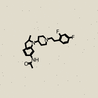 CC(=O)Nc1ccc2c(c1)N(C1CCN(CCc3ccc(F)cc3F)CC1)C(C)C2